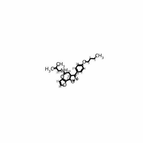 CCCCOc1ccc(C2=NOC(c3ccco3)C2CC(=O)NCC(C)C)cc1